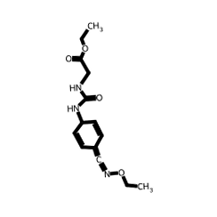 CCON=C=C1C=CC(NC(=O)NCC(=O)OCC)C=C1